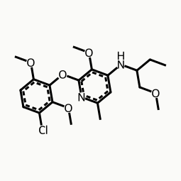 CCC(COC)Nc1cc(C)nc(Oc2c(OC)ccc(Cl)c2OC)c1OC